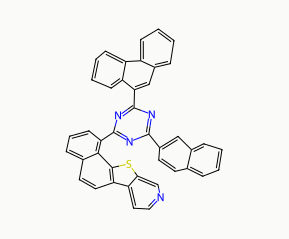 c1ccc2cc(-c3nc(-c4cc5ccccc5c5ccccc45)nc(-c4cccc5ccc6c7ccncc7sc6c45)n3)ccc2c1